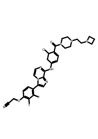 N#CCOc1ccc(-c2cnc3c(NC4=CC=C(C(=O)N5CCN(CCN6CCC6)CC5)C(Cl)C4)nccn23)c(F)c1F